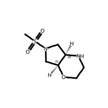 CS(=O)(=O)N1C[C@@H]2OCCN[C@@H]2C1